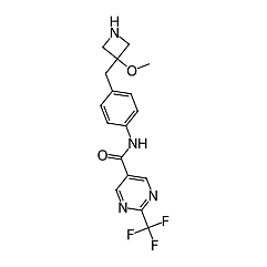 COC1(Cc2ccc(NC(=O)c3cnc(C(F)(F)F)nc3)cc2)CNC1